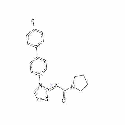 O=C(/N=c1\sccn1-c1ccc(-c2ccc(F)cc2)cc1)N1CCCC1